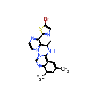 CC(Nc1ncnc2c(C(F)(F)F)cc(C(F)(F)F)cc12)c1nccnc1-c1ncc(Br)s1